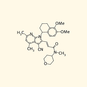 COc1ccc2c(c1OC)CCCC2n1c(/C=C/C(=O)N(C)C2CCOCC2)c(C#N)c2c(C)cc(C)nc21